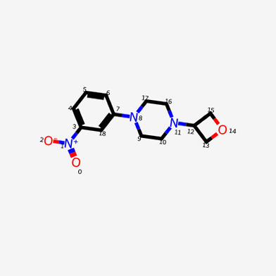 O=[N+]([O-])c1cccc(N2CCN(C3COC3)CC2)c1